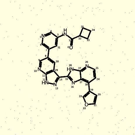 O=C(Nc1cncc(-c2cnc3[nH]nc(-c4nc5c(-c6ccoc6)ccnc5[nH]4)c3c2)c1)C1CCC1